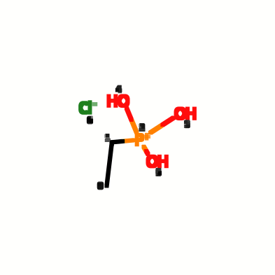 CC[P+](O)(O)O.[Cl-]